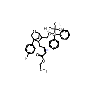 CCOC(=O)/C=C\CC1C(CO[Si](c2ccccc2)(c2ccccc2)C(C)(C)C)C2CC1(c1ccc(F)cc1)CO2